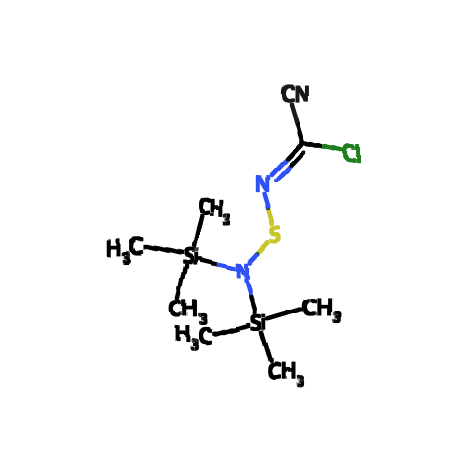 C[Si](C)(C)N(SN=C(Cl)C#N)[Si](C)(C)C